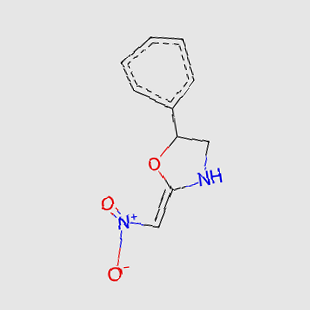 O=[N+]([O-])C=C1NCC(c2ccccc2)O1